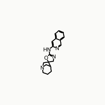 c1ccc2cc(NC3=NCC4(CN5CCCC4C5)O3)ncc2c1